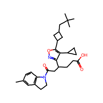 Cc1ccc2c(c1)CCN2C(=O)CC(CCC(=O)O)c1noc(C2CC(CC(C)(C)C)C2)c1C1CC1